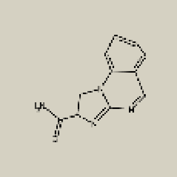 NC(=O)C1CN2C(=N1)N=Cc1ccccc12